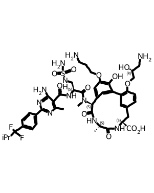 Cc1nc(-c2ccc(C(F)(F)C(C)C)cc2)nc(N)c1C(=O)N[C@@H](CNS(N)(=O)=O)C(=O)N(C)[C@@H]1C(=O)N[C@@H](C)C(=O)N[C@H](C(=O)O)Cc2ccc(OC[C@H](O)CN)c(c2)-c2cc1cc(OCCCN)c2O